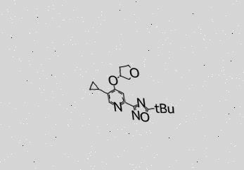 CC(C)(C)c1nc(-c2cc(OC3CCOC3)c(C3CC3)cn2)no1